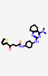 CN(C)c1nc(NC2CCC(NC(=O)CCC(=O)c3cccs3)CC2)nc2c1CCCC2